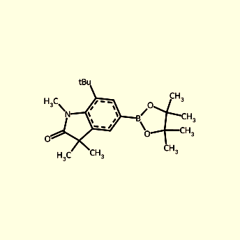 CN1C(=O)C(C)(C)c2cc(B3OC(C)(C)C(C)(C)O3)cc(C(C)(C)C)c21